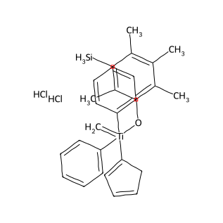 Cl.Cl.[CH2]=[Ti]([O]c1c(C)c(C)c(C)c([SiH3])c1C)([C]1=CC=CC1)([c]1ccccc1)[c]1ccccc1